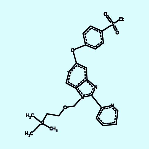 CCS(=O)(=O)c1ccc(Oc2[c]cc3c(c2)nc(-c2ccccn2)n3COCC[Si](C)(C)C)cc1